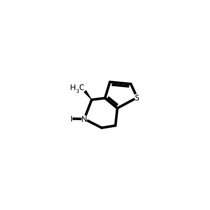 C[C@H]1c2ccsc2CCN1I